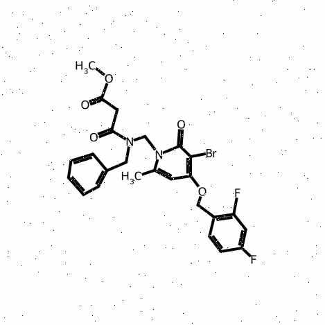 COC(=O)CC(=O)N(Cc1ccccc1)Cn1c(C)cc(OCc2ccc(F)cc2F)c(Br)c1=O